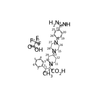 CC(c1ccccc1)C(C(=O)O)N1CCC(N2CCN(c3ccc(C(=N)N)cc3)CC2)CC1.O=C(O)C(F)(F)F